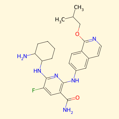 CC(C)COc1nccc2cc(Nc3nc(NC4CCCCC4N)c(F)cc3C(N)=O)ccc12